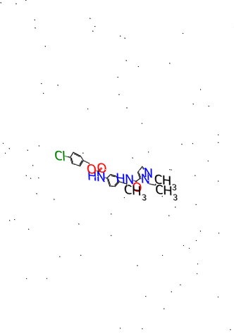 CC(C)Cn1nccc1C(=O)N[C@@H](C)c1ccc(NC(=O)OCc2ccc(Cl)cc2)cc1